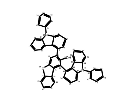 Oc1c(-c2cccc3c2c2ccccc2n3-c2ccccc2)cc2oc3ccccc3c2c1-c1cccc2c1c1ccccc1n2-c1ccccc1